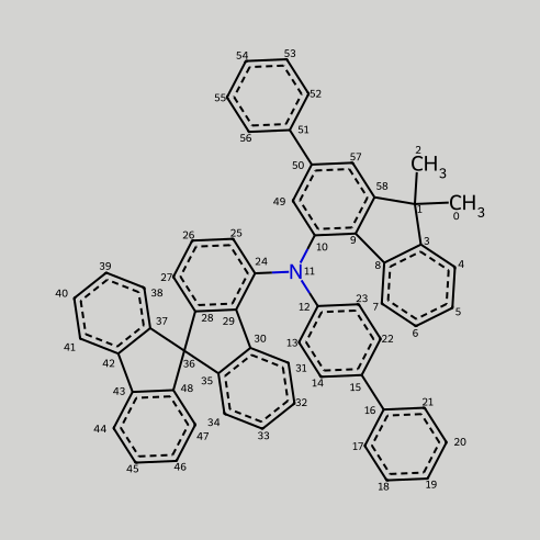 CC1(C)c2ccccc2-c2c(N(c3ccc(-c4ccccc4)cc3)c3cccc4c3-c3ccccc3C43c4ccccc4-c4ccccc43)cc(-c3ccccc3)cc21